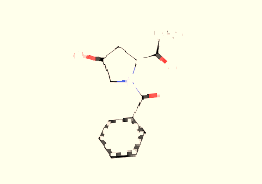 COC(=O)[C@@H]1CC(=O)CN1C(=O)c1ccccc1